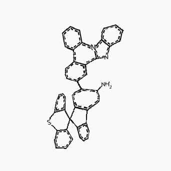 Nc1cc2c(cc1-c1ccc3c4ccccc4n4c5ccccc5nc4c3c1)C1(c3ccccc3Sc3ccccc31)c1ccccc1-2